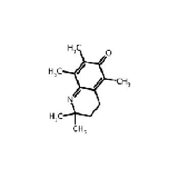 CC1=C(C)C2=NC(C)(C)CCC2=C(C)C1=O